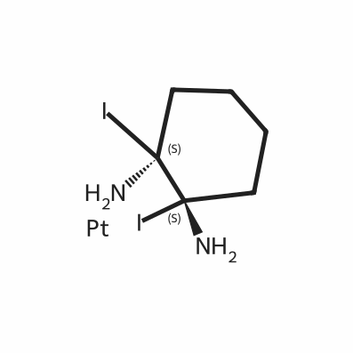 N[C@]1(I)CCCC[C@]1(N)I.[Pt]